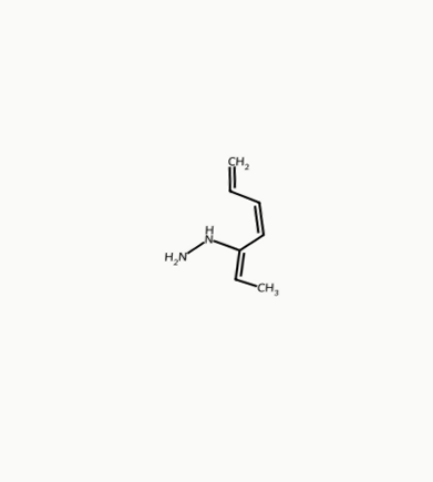 C=C/C=C\C(=C/C)NN